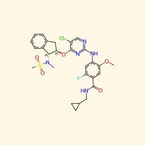 COc1cc(C(=O)NCC2CC2)c(F)cc1Nc1ncc(Cl)c(O[C@@H]2Cc3ccccc3[C@H]2N(C)S(C)(=O)=O)n1